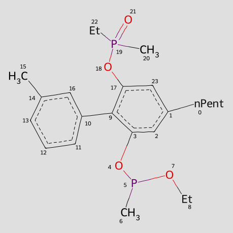 CCCCCc1cc(OP(C)OCC)c(-c2cccc(C)c2)c(OP(C)(=O)CC)c1